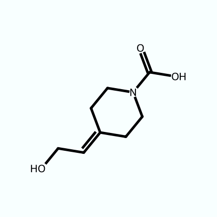 O=C(O)N1CCC(=CCO)CC1